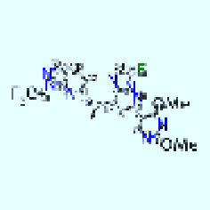 COc1ncc(-c2cc(C3C[C@@H]3c3ccc4cnn(CC(F)(F)F)c4n3)c3ncc(F)n3n2)c(OC)n1